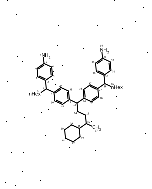 CCCCCCC(c1ccc(N)cc1)c1ccc(C(CCC(C)C2CCCCC2)c2ccc(C(CCCCCC)c3ccc(N)cc3)cc2)cc1